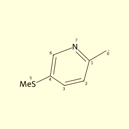 [CH2]c1ccc(SC)cn1